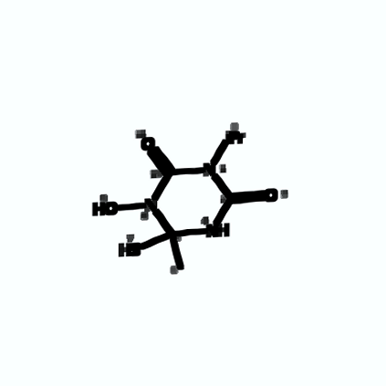 CC(C)N1C(=O)NC(C)(S)N(O)C1=O